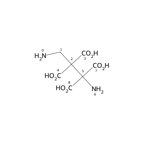 NCC(C(=O)O)(C(=O)O)C(N)(C(=O)O)C(=O)O